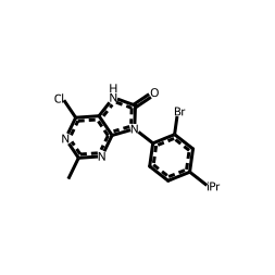 Cc1nc(Cl)c2[nH]c(=O)n(-c3ccc(C(C)C)cc3Br)c2n1